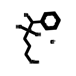 CCCCCCCCCCCC[N+](O)(O)C(CC)c1ccccc1.[Cl-]